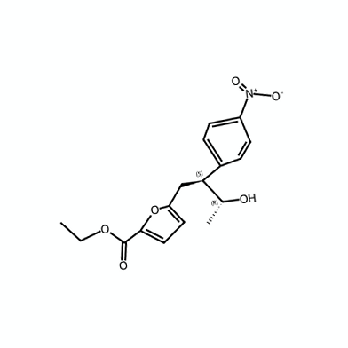 CCOC(=O)c1ccc(C[C@@H](c2ccc([N+](=O)[O-])cc2)[C@@H](C)O)o1